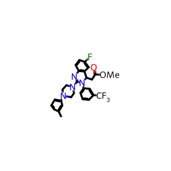 COC(=O)CC1c2cc(F)ccc2N=C(N2CCN(c3cccc(C)c3)CC2)N1c1cccc(C(F)(F)F)c1